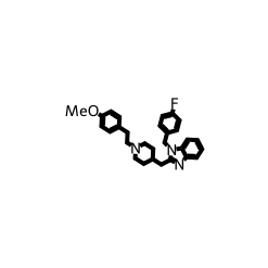 COc1ccc(CCN2CCC(Cc3nc4ccccc4n3Cc3ccc(F)cc3)CC2)cc1